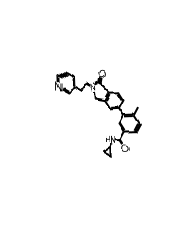 Cc1ccc(C(=O)NC2CC2)cc1-c1ccc2c(c1)CN(CCc1cccnc1)C2=O